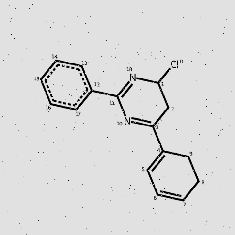 ClC1CC(C2=CC=CCC2)=NC(c2ccccc2)=N1